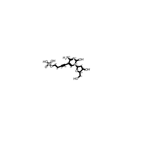 NC1=NC(O)N(C2CC(O)C(CO)O2)C=C1C#CCCOP(=O)(O)O